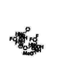 COCC(C)NC[C@@H](O)[C@H](Cc1cc(F)cc(F)c1)NC(=O)CCc1ccccc1.O=C(CCc1ccccc1)N[C@@H](Cc1cc(F)cc(F)c1)[C@H](O)CNCc1ccccn1